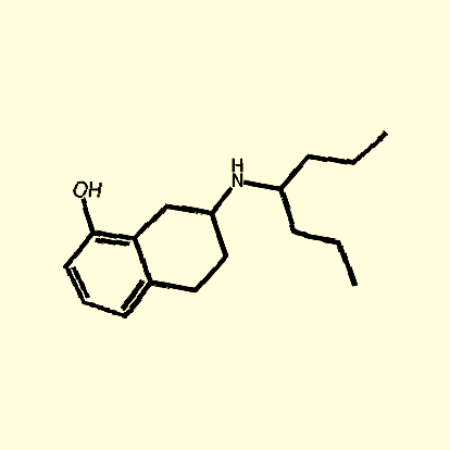 CCCC(CCC)NC1CCc2cccc(O)c2C1